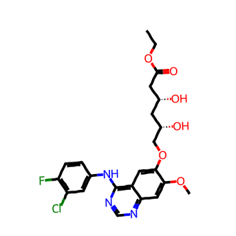 CCOC(=O)C[C@H](O)C[C@H](O)COc1cc2c(Nc3ccc(F)c(Cl)c3)ncnc2cc1OC